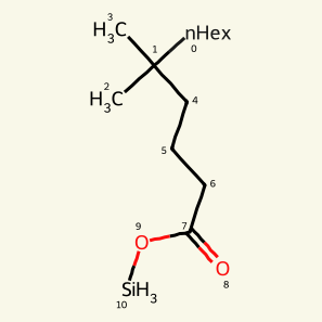 CCCCCCC(C)(C)CCCC(=O)O[SiH3]